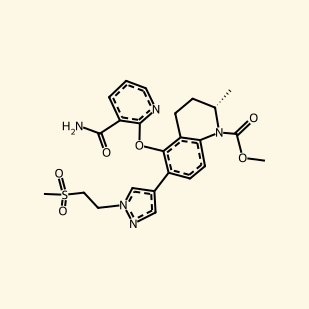 COC(=O)N1c2ccc(-c3cnn(CCS(C)(=O)=O)c3)c(Oc3ncccc3C(N)=O)c2CC[C@@H]1C